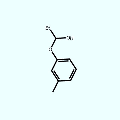 CCC(O)Oc1cccc(C)c1